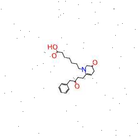 O=C(O)CCCCCCN1CC(=O)CC=C1CCC(=O)Cc1ccccc1